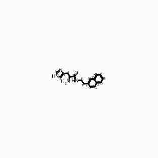 NC(Cc1c[nH]cn1)C(=O)NCCc1ccc2ccccc2c1